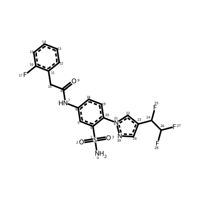 NS(=O)(=O)c1cc(NC(=O)Cc2ccccc2F)ccc1-n1cc(C(F)C(F)F)cn1